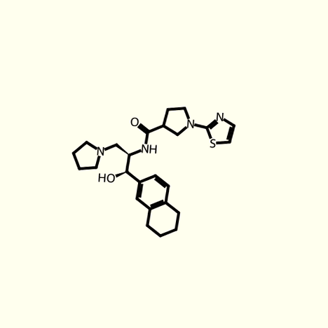 O=C(N[C@H](CN1CCCC1)[C@H](O)c1ccc2c(c1)CCCC2)C1CCN(c2nccs2)C1